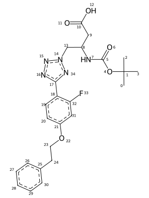 CC(C)(C)OC(=O)NC(CC(=O)O)Cn1nnc(-c2ccc(OCCc3ccccc3)cc2F)n1